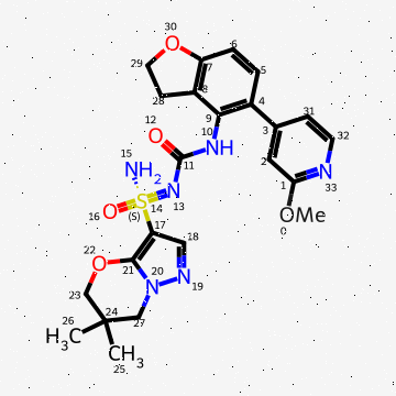 COc1cc(-c2ccc3c(c2NC(=O)N=[S@](N)(=O)c2cnn4c2OCC(C)(C)C4)CCO3)ccn1